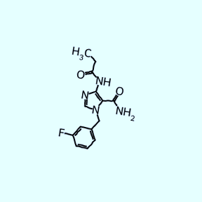 CCC(=O)Nc1ncn(Cc2cccc(F)c2)c1C(N)=O